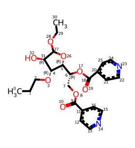 CCCO[C@H]1[C@@H]([C@@H](COC(=O)c2ccncc2)OC(=O)c2ccncc2)OC(OCC)[C@@H]1O